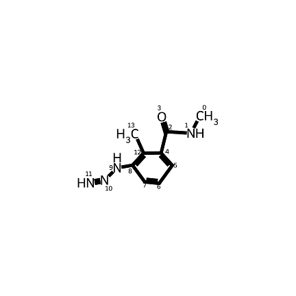 CNC(=O)c1cccc(NN=N)c1C